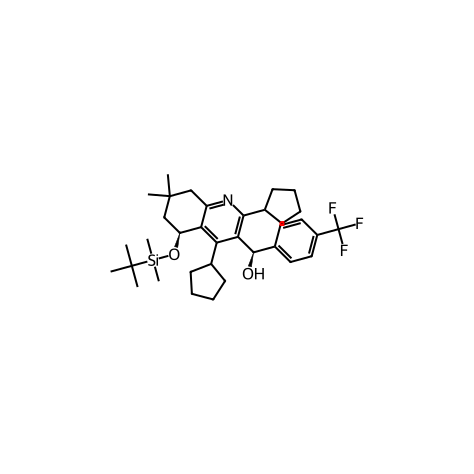 CC1(C)Cc2nc(C3CCCC3)c([C@H](O)c3ccc(C(F)(F)F)cc3)c(C3CCCC3)c2[C@@H](O[Si](C)(C)C(C)(C)C)C1